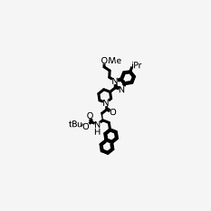 COCCCn1c(C2CCCN(C(=O)C[C@@H](Cc3ccc4ccccc4c3)NC(=O)OC(C)(C)C)C2)nc2ccc(C(C)C)cc21